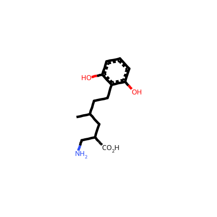 CC(CCc1c(O)cccc1O)CC(CN)C(=O)O